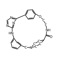 O=C1NCCOc2ccc(cc2)-c2ncnc(n2)Nc2cccc(c2)CN2CCC1CC2